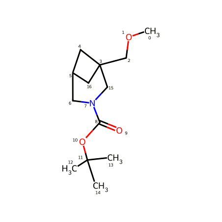 COCC12CC(CN(C(=O)OC(C)(C)C)C1)C2